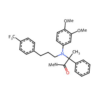 CNC(=O)C(C)(c1ccccc1)N(CCCc1ccc(C(F)(F)F)cc1)c1ccc(OC)c(OC)c1